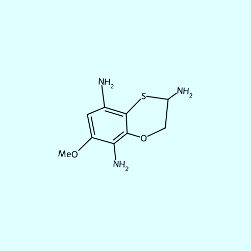 COc1cc(N)c2c(c1N)OCC(N)S2